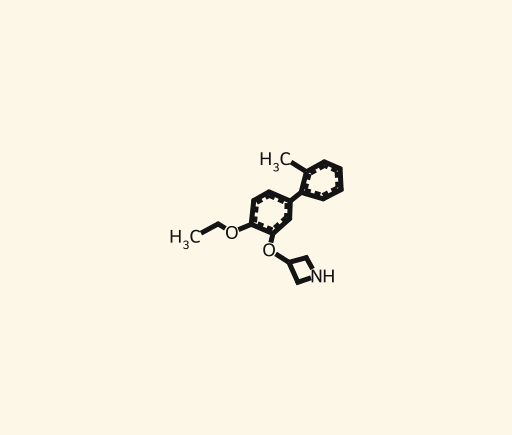 CCOc1ccc(-c2ccccc2C)cc1OC1CNC1